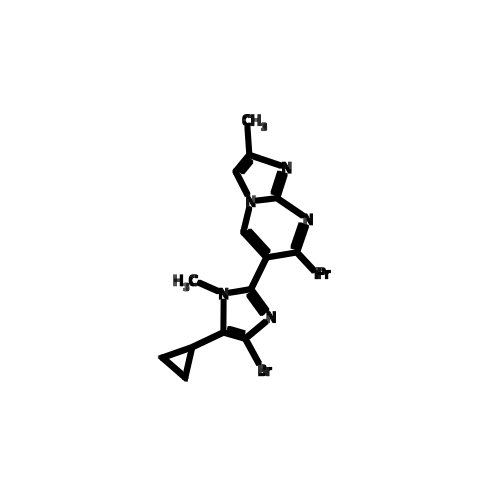 Cc1cn2cc(-c3nc(Br)c(C4CC4)n3C)c(C(C)C)nc2n1